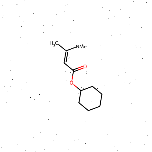 CN/C(C)=C\C(=O)OC1CCCCC1